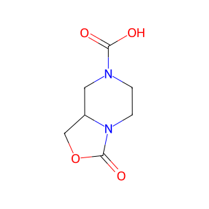 O=C(O)N1CCN2C(=O)OCC2C1